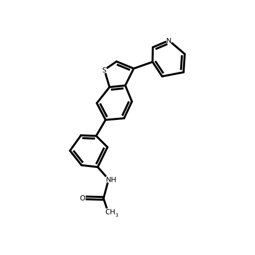 CC(=O)Nc1cccc(-c2ccc3c(-c4cccnc4)csc3c2)c1